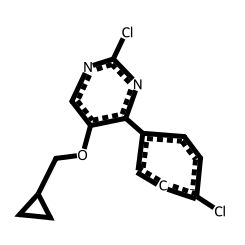 Clc1ccc(-c2nc(Cl)ncc2OCC2CC2)cc1